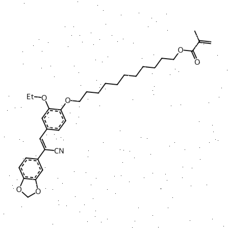 C=C(C)C(=O)OCCCCCCCCCCCOc1ccc(C=C(C#N)c2ccc3c(c2)OCO3)cc1OCC